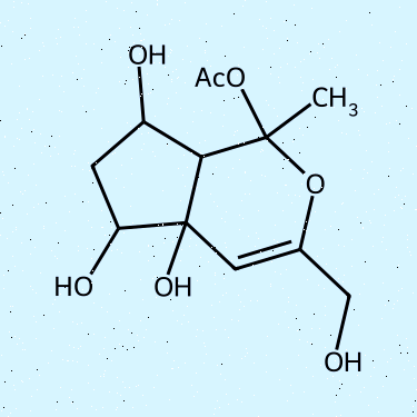 CC(=O)OC1(C)OC(CO)=CC2(O)C(O)CC(O)C12